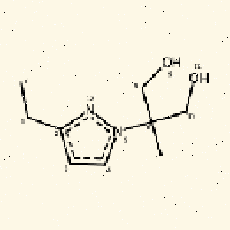 CCc1ccn(C(C)(CO)CO)n1